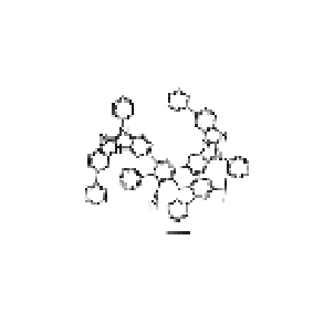 CC(C)(C)c1ccc2c(c1)-c1cc(C(C)(C)C)ccc1C2c1c(-c2ccc3c(c2)n2c4cc(-c5ccccc5)ccc4nc2n3-c2ccccc2)cc(-c2ccc3c(c2)n2c4cc(-c5ccccc5)ccc4nc2n3-c2ccccc2)c(-c2ccccc2)c1C#N